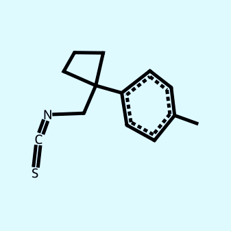 Cc1ccc(C2(CN=C=S)CCC2)cc1